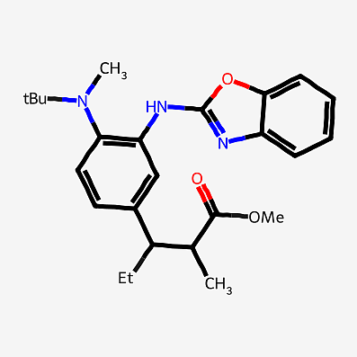 CCC(c1ccc(N(C)C(C)(C)C)c(Nc2nc3ccccc3o2)c1)C(C)C(=O)OC